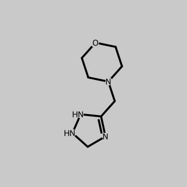 C1N=C(CN2CCOCC2)NN1